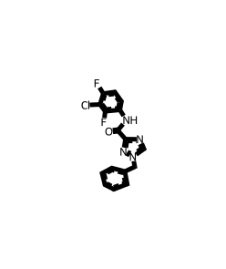 O=C(Nc1ccc(F)c(Cl)c1F)c1ncn(Cc2ccccc2)n1